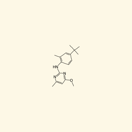 COc1cc(C)nc(Nc2ccc(C(C)(C)C)cc2C)n1